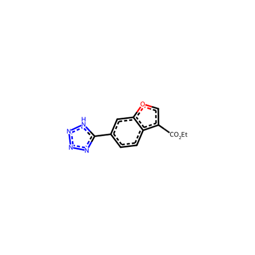 CCOC(=O)c1coc2cc(-c3nnn[nH]3)ccc12